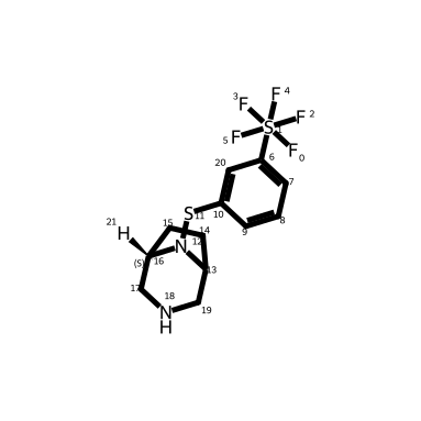 FS(F)(F)(F)(F)c1cccc(SN2C3CC[C@H]2CNC3)c1